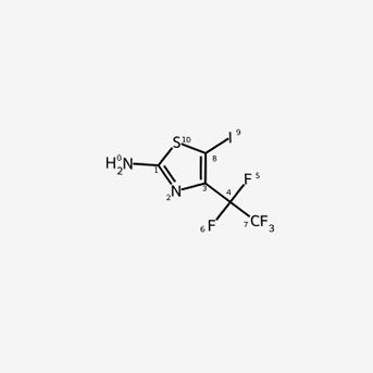 Nc1nc(C(F)(F)C(F)(F)F)c(I)s1